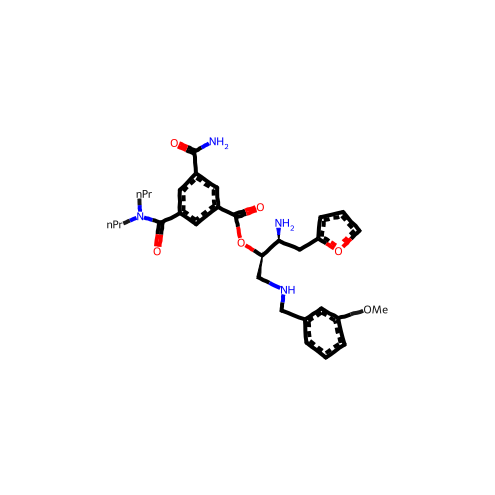 CCCN(CCC)C(=O)c1cc(C(N)=O)cc(C(=O)O[C@H](CNCc2cccc(OC)c2)[C@@H](N)Cc2ccco2)c1